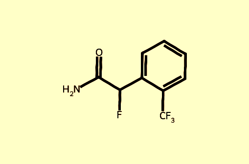 NC(=O)C(F)c1ccccc1C(F)(F)F